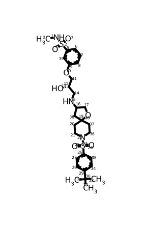 CNS(=O)(=O)c1cccc(OC[C@@H](O)CNC2COC3(CCN(S(=O)(=O)c4ccc(C(C)(C)C)cc4)CC3)C2)c1